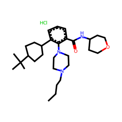 CCCCN1CCN(c2c(C(=O)NC3CCOCC3)cccc2C2CCC(C(C)(C)C)CC2)CC1.Cl